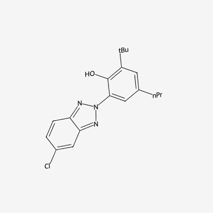 [CH2]CCc1cc(-n2nc3ccc(Cl)cc3n2)c(O)c(C(C)(C)C)c1